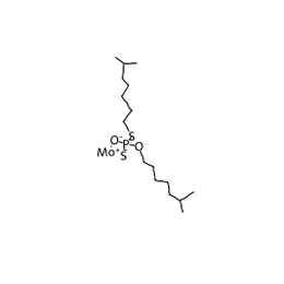 CC(C)CCCCCOP([O-])(=S)SCCCCCC(C)C.[Mo+]